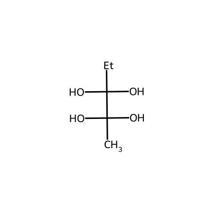 [CH2]CC(O)(O)C(C)(O)O